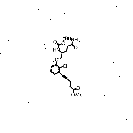 COC(=O)CCC#Cc1cccc(OCC(CCC(N)=O)NC(=O)OC(C)(C)C)c1Cl